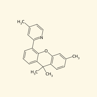 Cc1ccnc(-c2cccc3c2Oc2cc(C)ccc2C3(C)C)c1